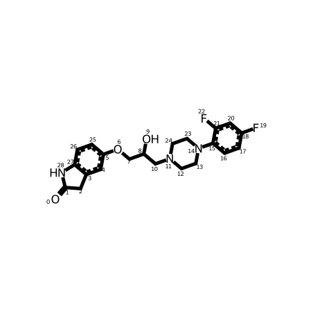 O=C1Cc2cc(OCC(O)CN3CCN(c4ccc(F)cc4F)CC3)ccc2N1